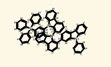 c1ccc(-n2c3ccccc3c3ccc(-c4cccc5c6ccccc6n(-c6cccc7c8ccccc8n(-c8cccc([Si](c9ccccc9)(c9ccccc9)c9ccccc9)c8)c67)c45)cc32)cc1